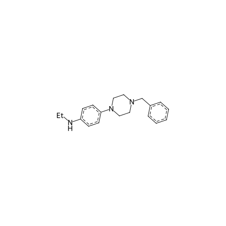 CCNc1ccc(N2CCN(Cc3ccccc3)CC2)cc1